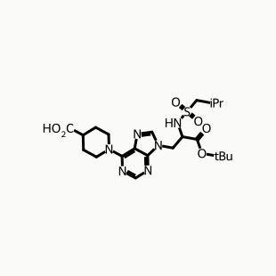 CC(C)CS(=O)(=O)NC(Cn1cnc2c(N3CCC(C(=O)O)CC3)ncnc21)C(=O)OC(C)(C)C